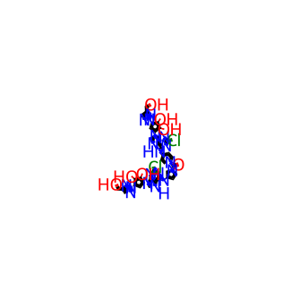 O=C(N1CCC(Nc2nc(Cl)nc3c2ncn3[C@@H]2C[C@H](n3ncc(CO)n3)[C@@H](O)[C@H]2O)CC1)N1CC[C@@H](Nc2nc(Cl)nc3c2ncn3[C@@H]2C[C@H](n3ncc(CO)n3)[C@@H](O)[C@H]2O)C1